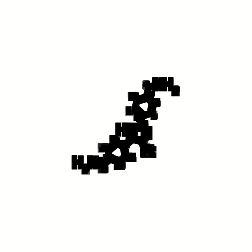 CCc1nc(-c2ccc(CN)cc2)[nH]c1-c1ccc(CN)cc1